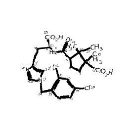 CC1(C(=O)O)CCC(C(=O)N[C@@H](Cc2cn(Cc3ccc(Cl)cc3Cl)cn2)C(=O)O)C1(C)C